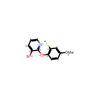 COc1ccc(Oc2ncccc2Br)c(F)c1